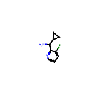 NC(c1ncccc1F)C1CC1